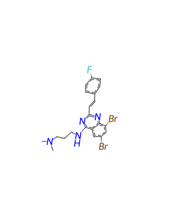 CN(C)CCCNc1nc(C=Cc2ccc(F)cc2)nc2c(Br)cc(Br)cc12